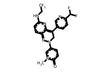 Cn1cc(N2CC(c3ccc(C(F)F)nc3)=c3nc(NCC(F)(F)F)ccc3=N2)ccc1=O